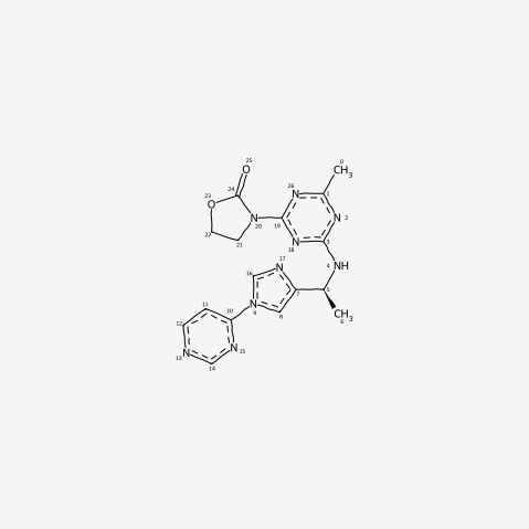 Cc1nc(N[C@@H](C)c2cn(-c3ccncn3)cn2)nc(N2CCOC2=O)n1